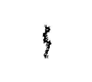 CCOCOCOCc1ccc(-c2ccc(-c3ccc(C4=CCC=C(C)S4)s3)s2)s1